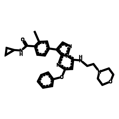 Cc1cc(-c2cnn3c(NCCN4CCOCC4)cc(Oc4ccccc4)nc23)ccc1C(=O)NC1CC1